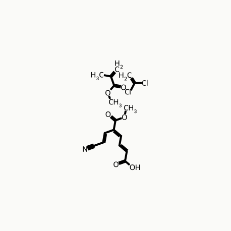 C=C(C)C(=O)OC.C=C(Cl)Cl.COC(=O)C(C=CC#N)=CC=CC(=O)O